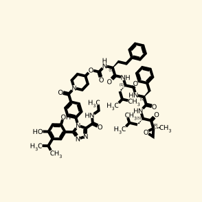 CCNC(=O)c1nnc(-c2cc(C(C)C)c(O)cc2O)n1-c1ccc(C(=O)N2CCC(OC(=O)N[C@@H](CCc3ccccc3)C(=O)N[C@@H](CC(C)C)C(=O)N[C@@H](Cc3ccccc3)C(=O)N[C@@H](CC(C)C)C(=O)[C@@]3(C)CO3)CC2)cc1